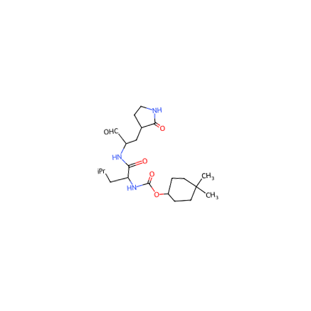 CC(C)CC(NC(=O)OC1CCC(C)(C)CC1)C(=O)NC(C=O)CC1CCNC1=O